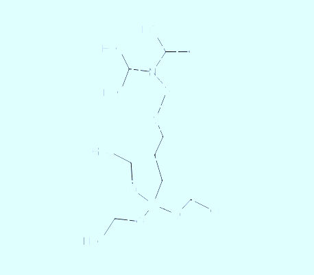 CCO[Si](CCCSSN(C(C)C)C(C)C)(OCC)OCC